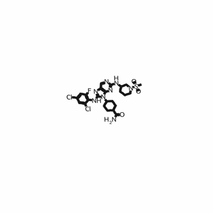 CS(=O)(=O)N1CCCC(Nc2ncc3nc(Nc4c(F)cc(Cl)cc4Cl)n(C4CCC(C(N)=O)CC4)c3n2)C1